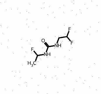 CC(F)NC(=O)NCC(F)F